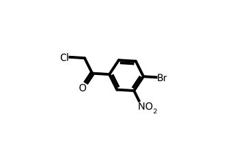 O=C(CCl)c1ccc(Br)c([N+](=O)[O-])c1